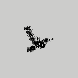 O=C1NC2(O)C(=O)N(c3ccc(C(F)(F)F)cc3)N=C2c2ccccc21.O=[N+]([O-])[O-].O=[N+]([O-])[O-].O=[N+]([O-])[O-].O=[N+]([O-])[O-].O=[N+]([O-])[O-].[Ce+4].[NH4+]